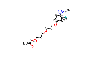 CCC(=O)COCCCOCCCOc1ccc(NC(C)C)c(F)c1